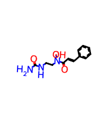 NC(=O)NCCN(O)C(=O)C=Cc1ccccc1